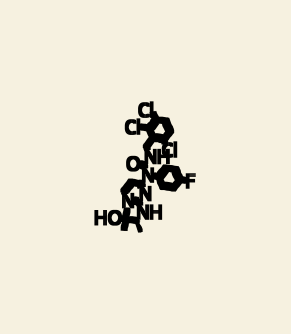 C[C@H](Nc1nccc(N(C(=O)NCc2c(Cl)ccc(Cl)c2Cl)c2ccc(F)cc2)n1)C(C)(C)O